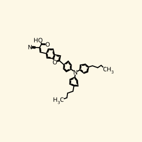 CCCCc1ccc(N(c2ccc(CCCC)cc2)c2ccc(-c3cc4ccc(C=C(C#N)C(=O)O)cc4o3)cc2)cc1